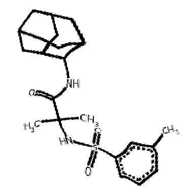 Cc1cccc(S(=O)(=O)NC(C)(C)C(=O)NC2C3CC4CC(C3)CC2C4)c1